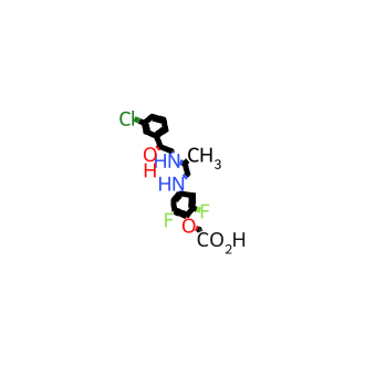 CC(CNc1cc(F)c(OCC(=O)O)c(F)c1)NCC(O)c1cccc(Cl)c1